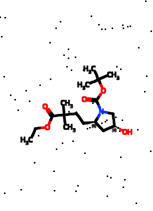 CCOC(=O)C(C)(C)CC[C@@H]1C[C@@H](O)CN1C(=O)OC(C)(C)C